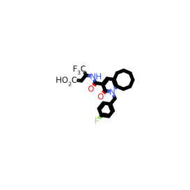 O=C(O)CC(NC(=O)c1cc2c(n(Cc3ccc(F)cc3)c1=O)CCCCCC2)C(F)(F)F